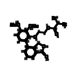 CCC(CC)C(=O)OCCOc1c(-c2cccc3c2COC3=O)ccc(OC)c1OC